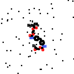 C=C(C)C(=O)OCCOC(=O)NC1CCC(CC2CCC(NC(=O)OCC3OC3CC)CC2)CC1